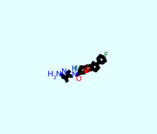 Cc1cc(N)nc(C)c1CNC(=O)c1cc2c(cc1F)C1OC2c2ccc(-c3ccc(F)cc3)cc21